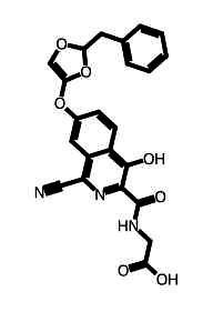 N#Cc1nc(C(=O)NCC(=O)O)c(O)c2ccc(OC3=COC(Cc4ccccc4)O3)cc12